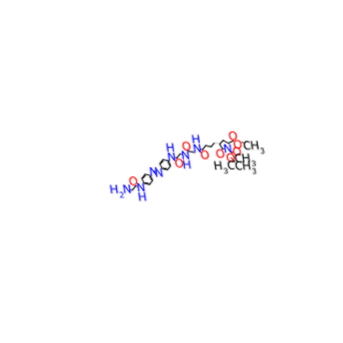 CCOC(=O)C1C[C@@H](CCCC(=O)NCC(=O)NCC(=O)Nc2ccc(/N=N/c3ccc(NC(=O)CN)cc3)cc2)C(=O)N1C(=O)OC(C)(C)C